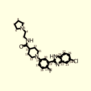 O=C(NCCN1CCCC1)C1CCN(c2ccc(F)c(-c3nc4cc(Cl)ccc4[nH]3)c2)CC1